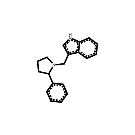 c1ccc(C2CCCN2Cc2c[nH]c3ccccc23)cc1